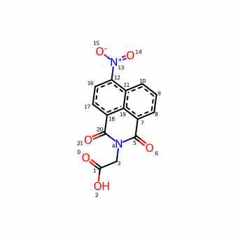 O=C(O)CN1C(=O)c2cccc3c([N+](=O)[O-])ccc(c23)C1=O